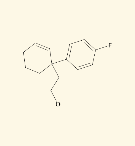 [O]CCC1(c2ccc(F)cc2)C=CCCC1